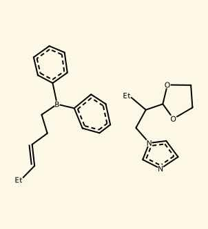 CCC(Cn1ccnc1)C1OCCO1.CCC=CCCB(c1ccccc1)c1ccccc1